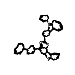 c1ccc(-c2ccc(-c3cc4sc5ccccc5c4c4nc(-c5ccc6c(c5)c5ccccc5n6-c5ccccc5)oc34)cc2)cc1